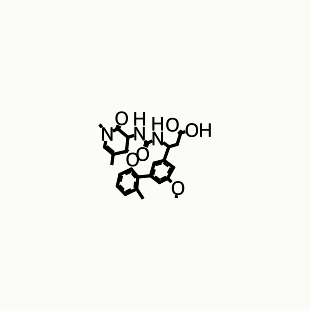 COc1cc(-c2ccccc2C)cc(C(CC(=O)O)NC(=O)NC2C(=O)C(C)=CN(C)C2=O)c1